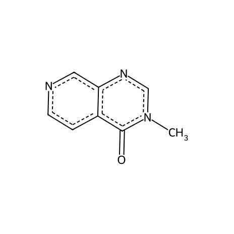 Cn1cnc2cnccc2c1=O